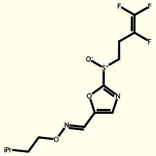 CC(C)CCON=Cc1cnc([S+]([O-])CCC(F)=C(F)F)o1